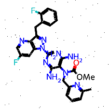 C=C(/N=C(/N)C(=C(N)N)N(Cc1cccc(C)n1)C(=O)OC)n1nc(Cc2ccccc2F)c2ncc(F)cc21